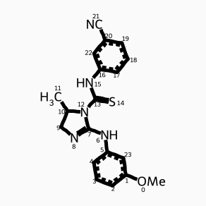 COc1cccc(NC2=NCC(C)N2C(=S)Nc2cccc(C#N)c2)c1